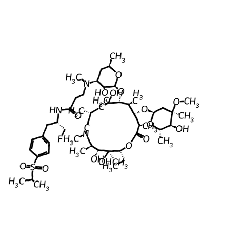 CC[C@H]1OC(=O)[C@H](C)[C@@H](O[C@H]2C[C@@](C)(OC)[C@@H](O)[C@H](C)O2)[C@H](C)[C@@H](O[C@@H]2O[C@H](C)C[C@H](N(C)CCC(=O)N[C@H](CF)Cc3ccc(S(=O)(=O)C(C)C)cc3)[C@H]2O)[C@](C)(O)C[C@@H](C)CN(C)[C@H](C)[C@@H](O)[C@]1(C)O